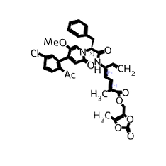 C=C/C(=C\C=C(/C)C(=O)OCc1oc(=O)oc1C)NC(=O)[C@H](Cc1ccccc1)n1cc(OC)c(-c2cc(Cl)ccc2C(C)=O)cc1=O